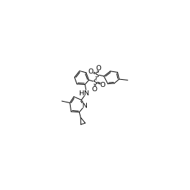 Cc1ccc(S(=O)(=O)S(=O)(=O)c2ccccc2Nc2cc(C)cc(C3CC3)n2)cc1